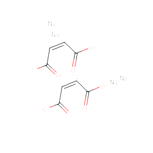 O=C([O-])/C=C\C(=O)[O-].O=C([O-])/C=C\C(=O)[O-].[Na+].[Na+].[Na+].[Na+]